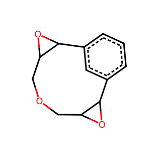 c1cc2cc(c1)C1OC1COCC1OC21